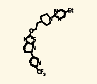 CCc1cnc(N2CCC(CCOc3nc4ccc(-c5ccc(C(F)(F)F)nc5)nc4s3)CC2)nc1